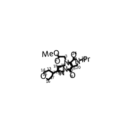 COC(=O)Cn1c2c(c(=O)n3nc(C4CCOCC4)cc13)CN(C(C)C)C2=O